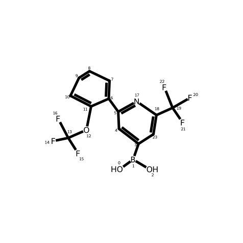 OB(O)c1cc(-c2ccccc2OC(F)(F)F)nc(C(F)(F)F)c1